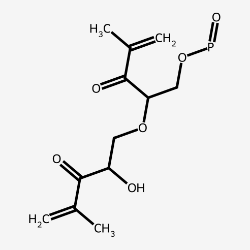 C=C(C)C(=O)C(O)COC(COP=O)C(=O)C(=C)C